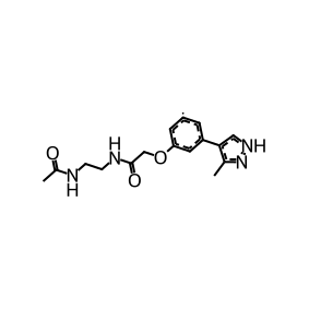 CC(=O)NCCNC(=O)COc1c[c]cc(-c2c[nH]nc2C)c1